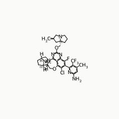 C=C1CN2CCC[C@@]2(COc2nc3c4c(c(Cl)c(-c5nc(N)cc(C)c5C(F)(F)F)c(F)c4n2)OC[C@@H]2[C@@H]4CC[C@H](CN32)N4C(C)=O)C1